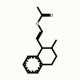 CC(=O)OC=CC1c2ccccc2CCC1C